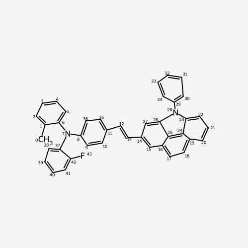 Cc1ccccc1N(c1ccc(/C=C/c2cc3ccc4cccc5c4c3c(c2)n5-c2ccccc2)cc1)c1ccccc1F